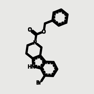 O=C(OCc1ccccc1)N1CCc2[nH]c3c(Br)cccc3c2C1